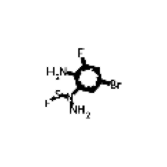 Nc1c(F)cc(Br)cc1N(N)SF